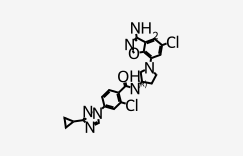 Nc1noc2c(N3CC[C@@H](NC(=O)c4ccc(-n5cnc(C6CC6)n5)cc4Cl)C3)cc(Cl)cc12